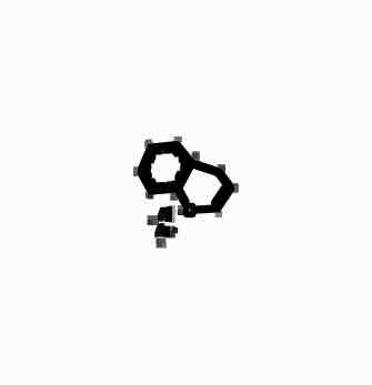 C1=COc2ccccc2C1.[Al].[Au]